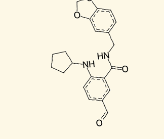 O=Cc1ccc(NC2CCCC2)c(C(=O)NCc2ccc3c(c2)OCO3)c1